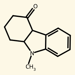 CN1c2ccccc2C2C(=O)CCCC21